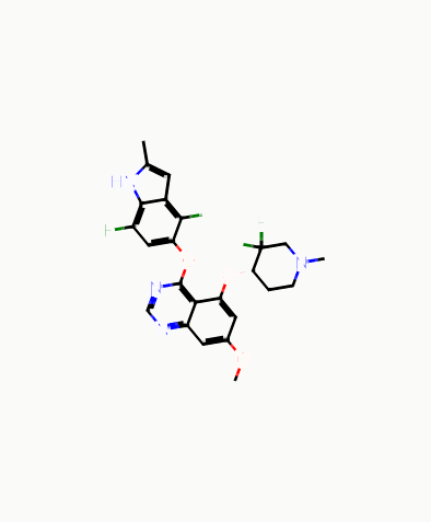 COc1cc(O[C@H]2CCN(C)CC2(F)F)c2c(Oc3cc(F)c4[nH]c(C)cc4c3F)ncnc2c1